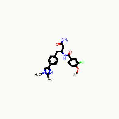 CC(=O)c1nc(-c2ccc(CC(CC(N)=O)NC(=O)c3ccc(OC(C)C)c(Cl)c3)cc2)cn1C